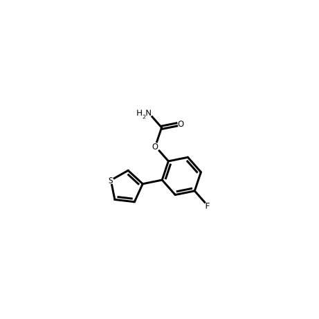 NC(=O)Oc1ccc(F)cc1-c1ccsc1